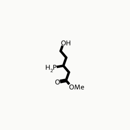 COC(=O)CC(P)CCO